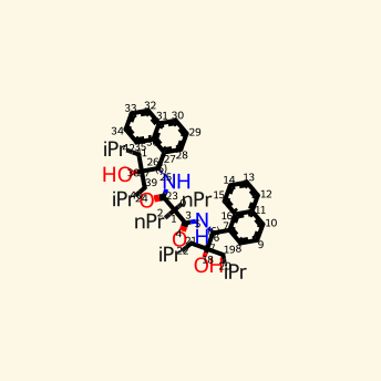 CCCC(CCC)(C(=O)N[C@@H](c1cccc2ccccc12)C(O)(CC(C)C)CC(C)C)C(=O)N[C@@H](c1cccc2ccccc12)C(O)(CC(C)C)CC(C)C